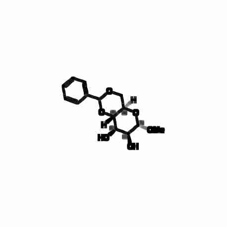 CO[C@H]1O[C@@H]2COC(c3ccccc3)O[C@H]2[C@H](O)[C@@H]1O